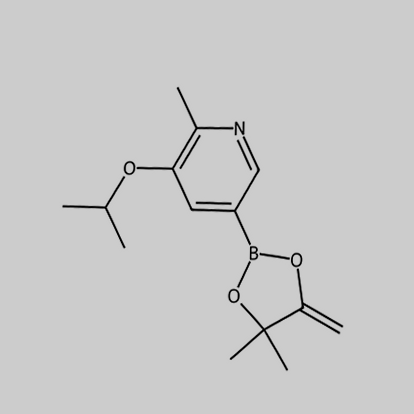 C=C1OB(c2cnc(C)c(OC(C)C)c2)OC1(C)C